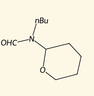 CCCCN(C=O)C1CCCCO1